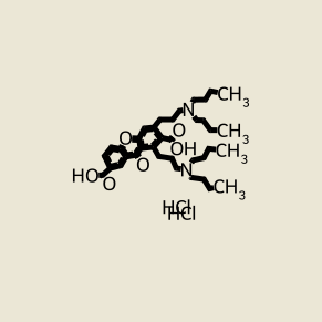 CCCCN(CCCC)CCCc1cc2oc3ccc(C(=O)O)cc3c(=O)c2c(CCCN(CCCC)CCCC)c1C(=O)O.Cl.Cl